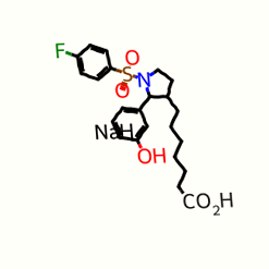 O=C(O)CCCCCCC1CCN(S(=O)(=O)c2ccc(F)cc2)C1c1cccc(O)c1.[NaH]